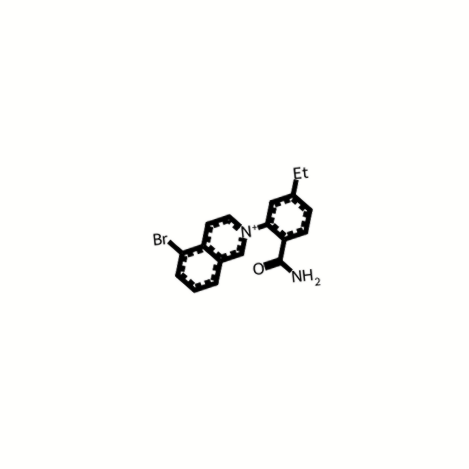 CCc1ccc(C(N)=O)c(-[n+]2ccc3c(Br)cccc3c2)c1